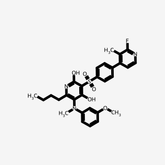 CCCCc1nc(O)c(S(=O)(=O)c2ccc(-c3ccnc(F)c3C)cc2)c(O)c1N(C)c1cccc(OC)c1